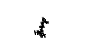 CC(C)NCSCCN(C)C